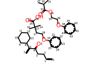 C=CCCC(=O)C(=C)C1CCCCC1.CC(C)(CCOc1ccccc1)C(=O)O.CC(C)C(=O)OCCOc1ccccc1